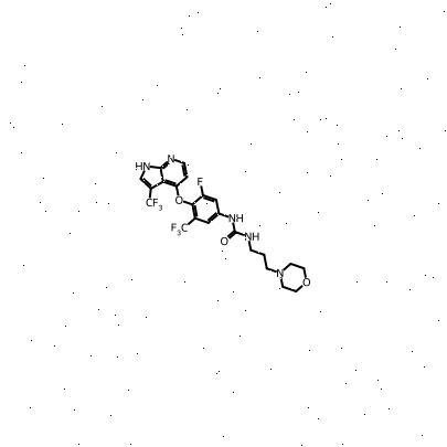 O=C(NCCCN1CCOCC1)Nc1cc(F)c(Oc2ccnc3[nH]cc(C(F)(F)F)c23)c(C(F)(F)F)c1